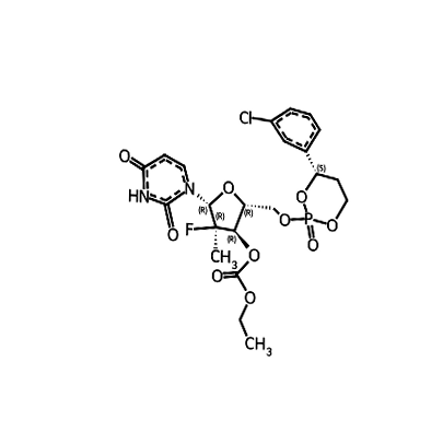 CCOC(=O)O[C@@H]1[C@@H](COP2(=O)OCC[C@@H](c3cccc(Cl)c3)O2)O[C@@H](n2ccc(=O)[nH]c2=O)[C@]1(C)F